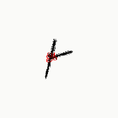 CCCCCCCCCCCCCCCC(=O)OCC(COC(=O)CCCCCCCCCCCCCCC)C(CCCCCCCCCCCCCC)C(=O)O